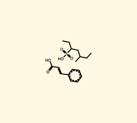 CCC(C)CC(CC)S(=O)(=O)O.O=C(O)C=Cc1ccccc1